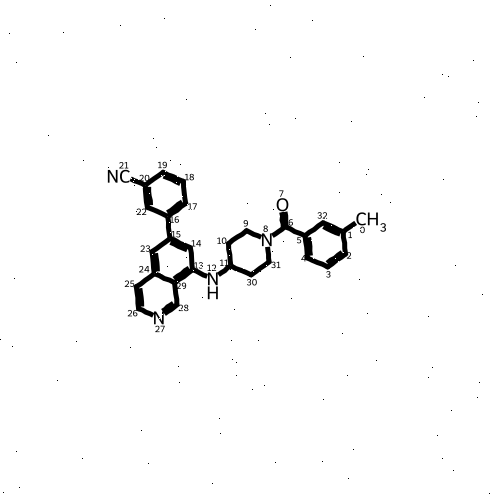 Cc1cccc(C(=O)N2CCC(Nc3cc(-c4cccc(C#N)c4)cc4ccncc34)CC2)c1